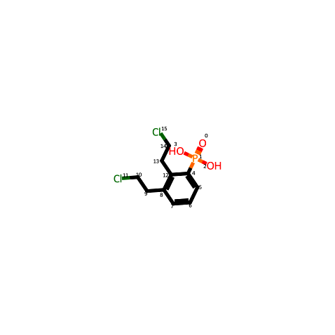 O=P(O)(O)c1cccc(CCCl)c1CCCl